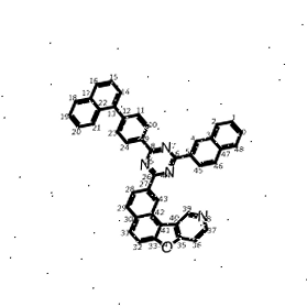 c1ccc2cc(-c3nc(-c4ccc(-c5cccc6ccccc56)cc4)nc(-c4ccc5ccc6oc7ccncc7c6c5c4)n3)ccc2c1